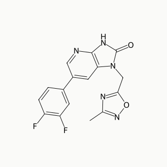 Cc1noc(Cn2c(=O)[nH]c3ncc(-c4ccc(F)c(F)c4)cc32)n1